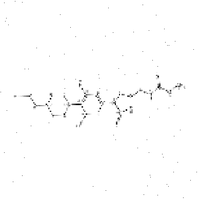 COC(=S)NCC1CN(c2cc(F)c(N3CCN(CCF)CC3)c(F)c2)C(=O)O1